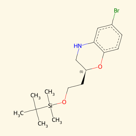 CC(C)(C)[Si](C)(C)OCC[C@H]1CNc2cc(Br)ccc2O1